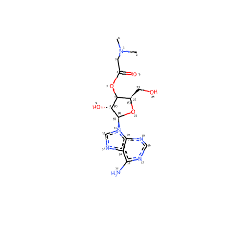 CN(C)CC(=O)OC1[C@@H](O)[C@H](n2cnc3c(N)ncnc32)O[C@@H]1CO